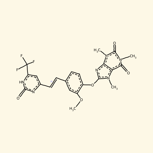 COc1cc(/C=C/c2cc(C(F)(F)F)[nH]c(=O)n2)ccc1Oc1nc2c(c(=O)n(C)c(=O)n2C)n1C